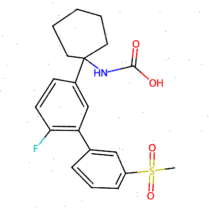 CS(=O)(=O)c1cccc(-c2cc(C3(NC(=O)O)CCCCC3)ccc2F)c1